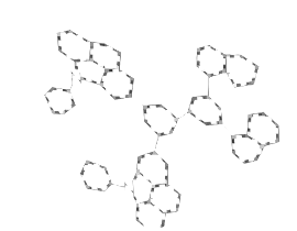 c1ccc(-n2c3cccc4ccc5cc(-c6cc(-c7cc(-c8cccc9ccccc89)cc(-c8cccc9ccccc89)c7)cc(-c7cc8ccc9cccc%10c9c8c(c7)n%10-c7ccccc7)c6)cc2c5c43)cc1